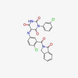 O=C1NC(=O)N(c2cccc(Cl)c2)C(=O)C1=Nc1ccc(Cl)c(C(=O)N2Cc3ccccc3C2=O)c1